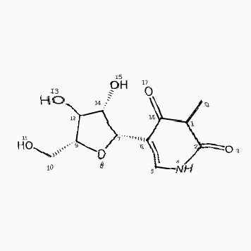 CC1C(=O)NC=C([C@@H]2O[C@H](CO)C(O)[C@@H]2O)C1=O